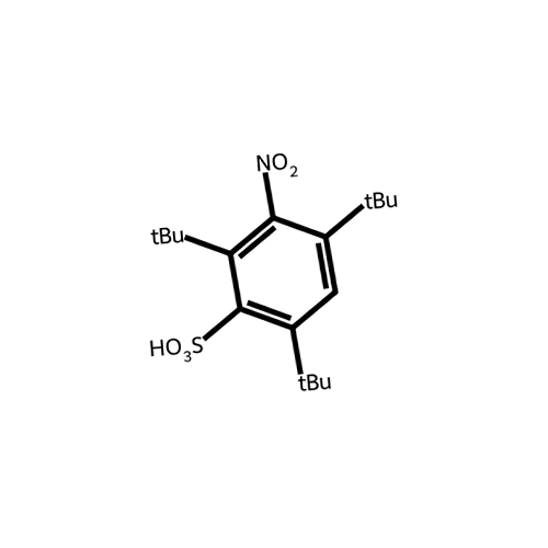 CC(C)(C)c1cc(C(C)(C)C)c(S(=O)(=O)O)c(C(C)(C)C)c1[N+](=O)[O-]